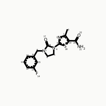 Cc1nc(N2CCN(Cc3cccc(F)c3)C2=O)sc1C(N)=O